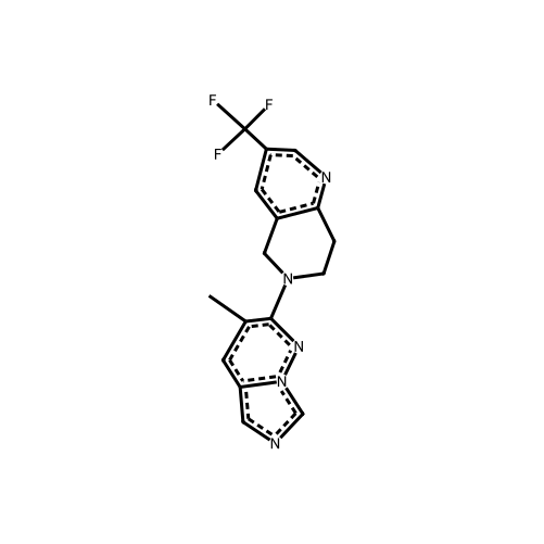 Cc1cc2cncn2nc1N1CCc2ncc(C(F)(F)F)cc2C1